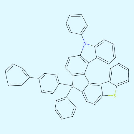 c1ccc(-c2ccc([Si]3(c4ccccc4)c4ccc5sc6ccccc6c5c4-c4c3ccc3c4c4ccccc4n3-c3ccccc3)cc2)cc1